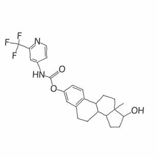 CC12CCC3c4ccc(OC(=O)Nc5ccnc(C(F)(F)F)c5)cc4CCC3C1CCC2O